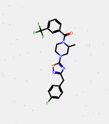 CC1CN(c2nc(Cc3ccc(F)cc3)ns2)CCN1C(=O)c1cccc(C(F)(F)F)c1